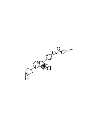 CCCCOC(=O)COc1ccc(C(=O)CN2CCN(C3CCNCC3)CC2=O)cc1.Cl.Cl